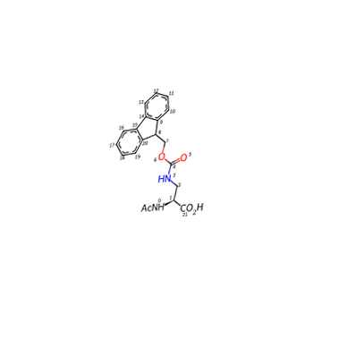 CC(=O)N[C@@H](CNC(=O)OCC1c2ccccc2-c2ccccc21)C(=O)O